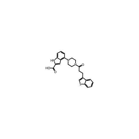 O=C(O)c1cc2c(N3CCN(C(=O)CCc4csc5ccccc45)CC3)cccc2[nH]1